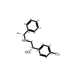 C[C@@H](NC[C@@H](O)c1ccc(Cl)cc1)c1ccccc1